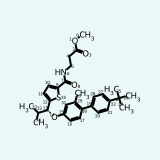 COC(=O)CCNC(=O)c1ccc([C@H](Oc2ccc(-c3ccc(C(C)(C)C)cc3)c(C)c2)C(C)C)s1